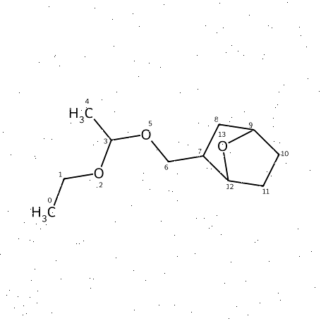 CCOC(C)OCC1CC2CCC1O2